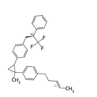 C/C=C/CCc1ccc(C2(C)CC2c2ccc(C[C@@H](c3ccccc3)C(F)(F)F)cc2)cc1